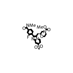 CNC(=O)c1ccc(-c2nc3cc(S(C)(=O)=O)ccn3c2C[C@H]2CN(C(=O)OC)CCO2)c(F)c1